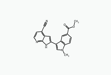 COC(=O)c1ccc2c(c1)c(-c1cc3c(C#N)ccnc3[nH]1)cn2C